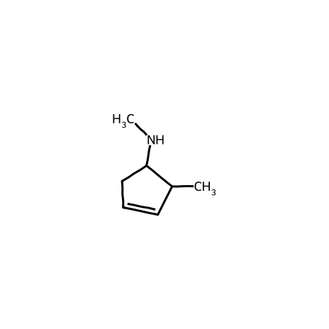 CNC1CC=CC1C